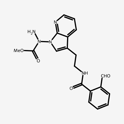 COC(=O)N(N)n1cc(CCNC(=O)c2ccccc2C=O)c2cccnc21